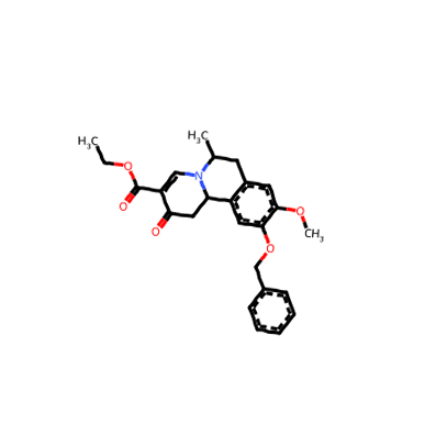 CCOC(=O)C1=CN2C(C)Cc3cc(OC)c(OCc4ccccc4)cc3C2CC1=O